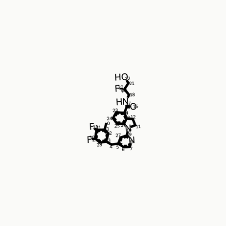 Cc1cc(Cc2ccnc(N3CCc4c(C(=O)NC[C@@H](F)CO)cccc43)c2)cc(F)c1F